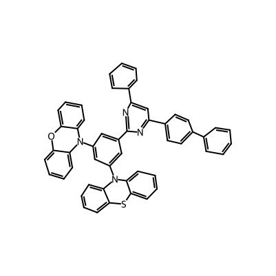 c1ccc(-c2ccc(-c3cc(-c4ccccc4)nc(-c4cc(N5c6ccccc6Oc6ccccc65)cc(N5c6ccccc6Sc6ccccc65)c4)n3)cc2)cc1